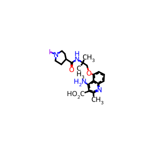 Cc1nc2cccc(OCC(C)(C)NC(=O)C3CCN(I)CC3)c2c(N)c1C(=O)O